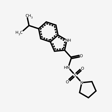 CC(C)c1ccc2[nH]c(C(=O)NS(=O)(=O)N3CCCC3)cc2c1